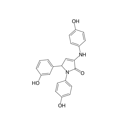 O=C1C(Nc2ccc(O)cc2)=CC(c2cccc(O)c2)N1c1ccc(O)cc1